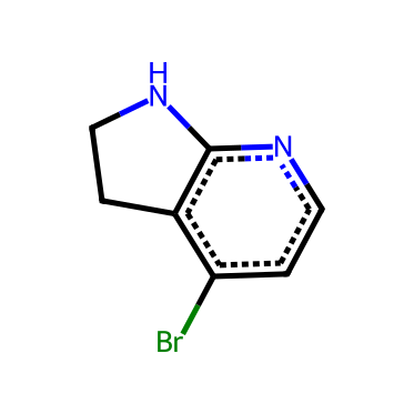 Brc1ccnc2c1CCN2